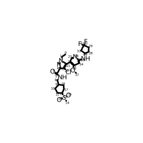 CCn1nc(C(=O)NCC2CCC(S(C)(=O)=O)CC2)c(Cl)c1-c1cnc(N[C@H]2CCC(F)(F)C2)cc1OC